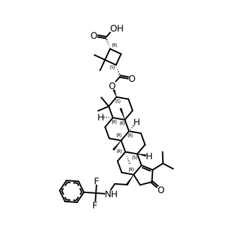 CC(C)C1=C2[C@H]3CC[C@@H]4[C@@]5(C)CC[C@H](OC(=O)[C@H]6C[C@@H](C(=O)O)C6(C)C)C(C)(C)[C@@H]5CC[C@@]4(C)[C@]3(C)CC[C@@]2(CCNC(F)(F)c2ccccc2)CC1=O